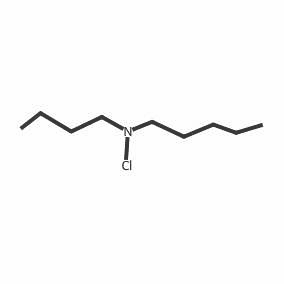 CCCCCN(Cl)CCCC